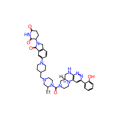 CCC1CN(CC2CCN(c3ccc4c(c3)C(=O)N(C3CCC(=O)NC3=O)C4)CC2)CCN1C(=O)N1CCN2c3cc(-c4ccccc4O)nnc3NC[C@H]2C1